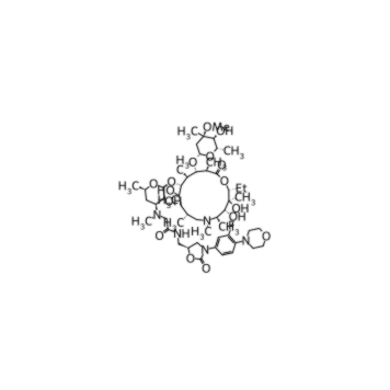 CC[C@H]1OC(=O)[C@H](C)[C@@H](O[C@@H]2C[C@@](C)(OC)[C@@H](O)[C@H](C)O2)[C@H](C)[C@@H](O[C@@H]2O[C@H](C)C[C@H](N(C)CC(=O)NC[C@H]3CN(c4ccc(N5CCOCC5)c(F)c4)C(=O)O3)[C@H]2O)[C@](C)(O)C[C@@H](C)CN(C)[C@H](C)[C@@H](O)[C@]1(C)O